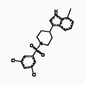 Cc1cccc2c(C3CCN(S(=O)(=O)c4cc(Cl)cc(Cl)c4)CC3)c[nH]c12